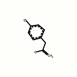 C=C([O])Cc1ccc(Cl)cc1